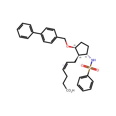 O=C(O)CC/C=C\C[C@@H]1[C@@H](NS(=O)(=O)c2ccccc2)CC[C@@H]1OCc1ccc(-c2ccccc2)cc1